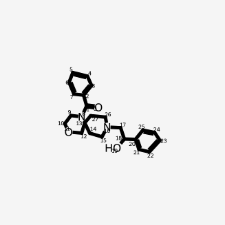 O=C(c1ccccc1)N1CCOCC12CCN(CC(O)c1ccccc1)CC2